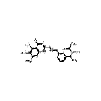 COC(=O)N(C)C(C)c1cccc(CNCc2nc(=O)c3c(C)c(OC)c(OC)cc3[nH]2)c1